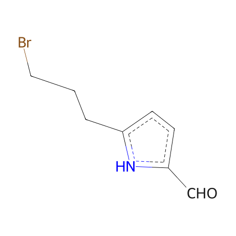 O=Cc1ccc(CCCBr)[nH]1